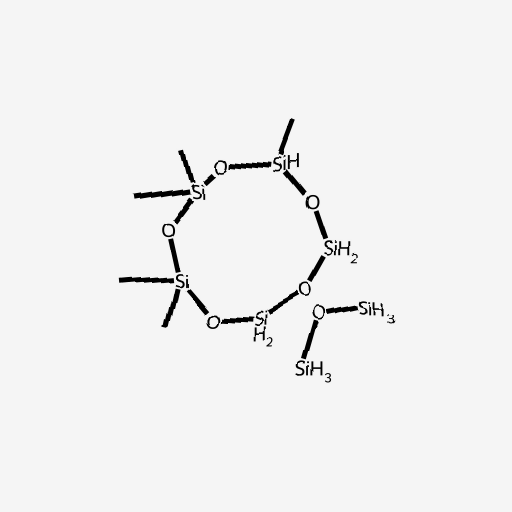 C[SiH]1O[SiH2]O[SiH2]O[Si](C)(C)O[Si](C)(C)O1.[SiH3]O[SiH3]